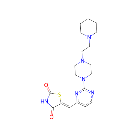 O=C1NC(=O)C(=Cc2ccnc(N3CCN(CCN4CCCCC4)CC3)n2)S1